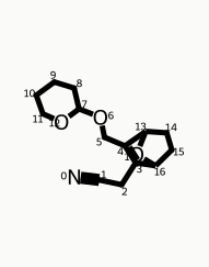 N#CCC1=C(COC2CCCCO2)C2CCC1O2